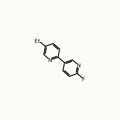 CCc1ccc(-c2ccc(F)nc2)nc1